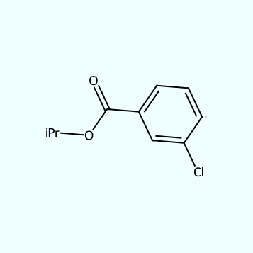 CC(C)OC(=O)c1cc[c]c(Cl)c1